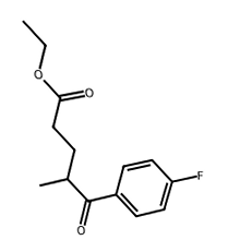 CCOC(=O)CCC(C)C(=O)c1ccc(F)cc1